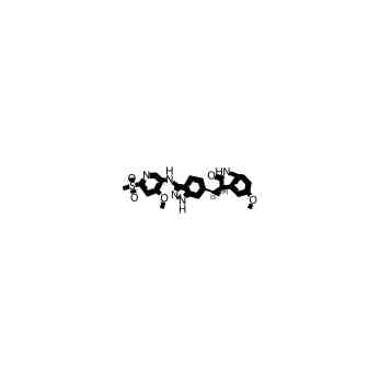 COc1ccc2c(c1)[C@]1(C[C@H]1c1ccc3c(Nc4cnc(S(C)(=O)=O)cc4OC)n[nH]c3c1)C(=O)N2